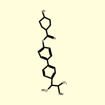 CCCCC(C(C(=O)O)c1ccc(-c2ccc(OC(=O)C3CCC(CCC)CC3)cc2)cc1)C(F)(F)F